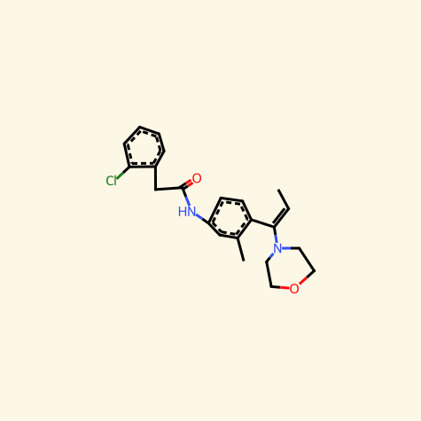 C/C=C(\c1ccc(NC(=O)Cc2ccccc2Cl)cc1C)N1CCOCC1